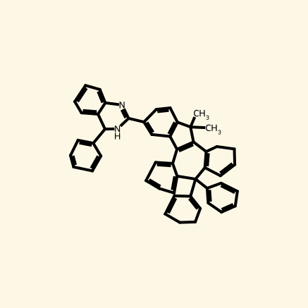 CC1(C)C2=C(c3cc(C4=Nc5ccccc5C(c5ccccc5)N4)ccc31)c1ccccc1C(C1=CCCC=C1)(c1ccccc1)C1=C2CCC=C1